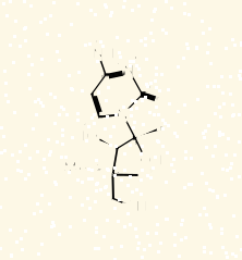 CO[C@](C)(CO)[C@@H](O)[C@@](C)(O)n1ccc(N)nc1=O